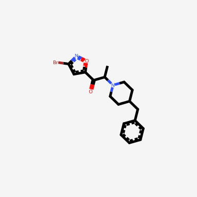 CC(C(=O)c1cc(Br)no1)N1CCC(Cc2ccccc2)CC1